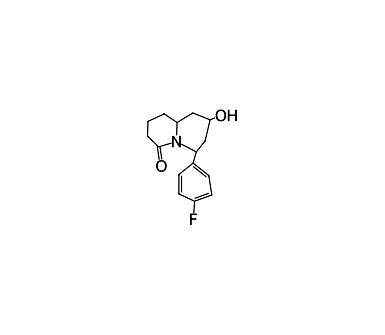 O=C1CCCC2CC(O)CC(c3ccc(F)cc3)N12